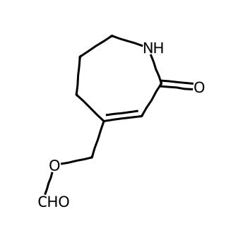 O=COCC1=CC(=O)NCCC1